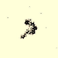 COc1nc(-c2cccc(-c3cccc(-c4cc(C)c(CN5C[C@@H]6CCC[C@]6(C(=O)O)C5)c(OC)n4)c3Cl)c2Cl)cnc1CNC[C@@H]1CCC(=O)N1